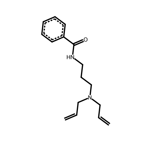 C=CCN(CC=C)CCCNC(=O)c1ccccc1